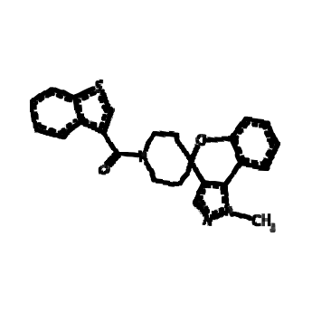 Cn1ncc2c1-c1ccccc1OC21CCN(C(=O)c2csc3ccccc23)CC1